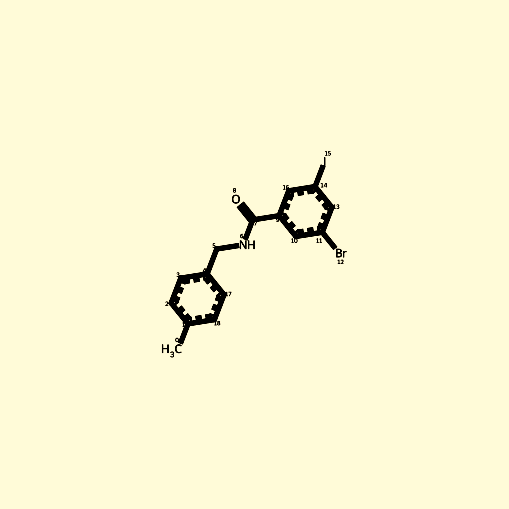 Cc1ccc(CNC(=O)c2cc(Br)cc(I)c2)cc1